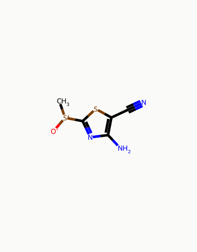 C[S+]([O-])c1nc(N)c(C#N)s1